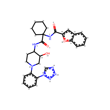 O=C(NC1(C(=O)NC2CCN(c3ccccc3-n3cnnn3)CC2O)CCCCC1)c1cc2ccccc2o1